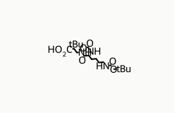 CC(C)(C)OC(=O)NCCCCC(NC(=O)OC(C)(C)C)C(=O)NCCC(=O)O